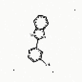 Bc1cccc(-c2nc3ccccc3[nH]2)c1